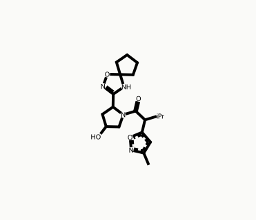 Cc1cc(C(C(=O)N2CC(O)CC2C2=NOC3(CCCC3)N2)C(C)C)on1